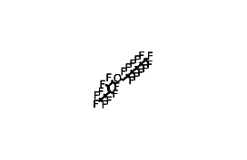 FC(=C(F)C(F)(F)C(F)(F)F)C(F)(F)OCC(F)(F)C(F)(F)C(F)(F)C(F)(F)C(F)(F)F